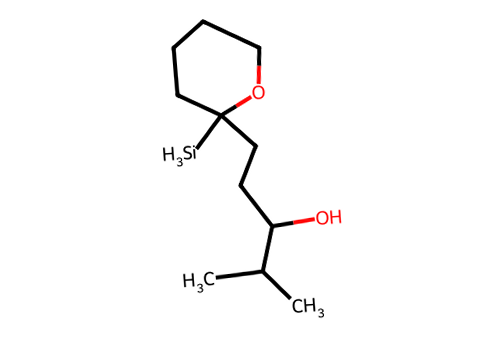 CC(C)C(O)CCC1([SiH3])CCCCO1